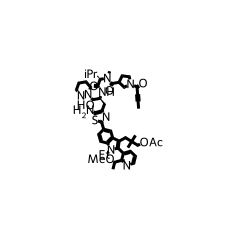 CC#CC(=O)N1CCC(C(=O)N(C)[C@H](C(=O)N[C@@H](Cc2nc(-c3ccc4c(c3)c(CC(C)(C)COC(C)=O)c(-c3cccnc3[C@H](C)OC)n4CC)sc2N)C(=O)N2CCCCN2)C(C)C)C1